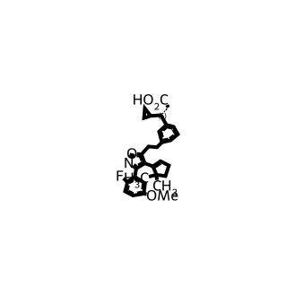 COc1ccc(F)c(-c2noc(CCc3cccc([C@@H](CC(=O)O)C4CC4)c3)c2C2=CCCC2(C)C)c1